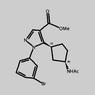 COC(=O)c1cnn(-c2cccc(Br)c2)c1[C@H]1CC[C@@H](NC(C)=O)C1